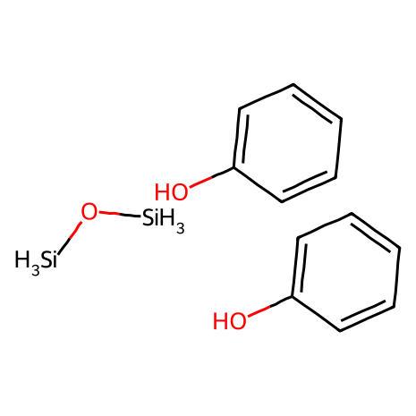 Oc1ccccc1.Oc1ccccc1.[SiH3]O[SiH3]